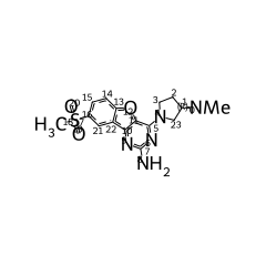 CN[C@@H]1CCN(c2nc(N)nc3c2oc2ccc(S(C)(=O)=O)cc23)C1